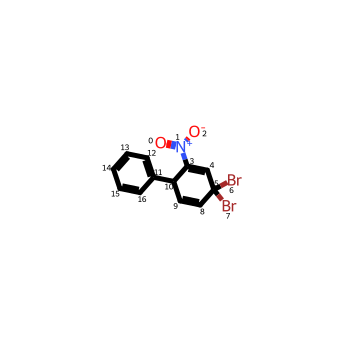 O=[N+]([O-])C1=CC(Br)(Br)C=CC1c1ccccc1